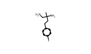 CC(N)(CN)CCc1ccc(F)cc1